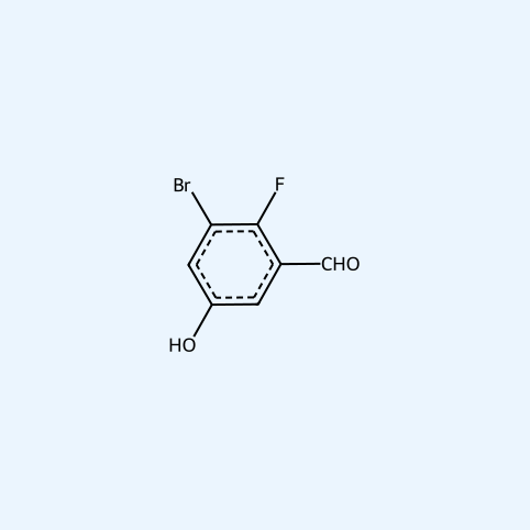 O=Cc1cc(O)cc(Br)c1F